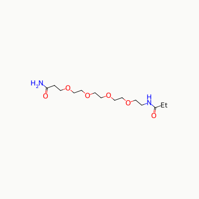 CCC(=O)NCCOCCOCCOCCOCCC(N)=O